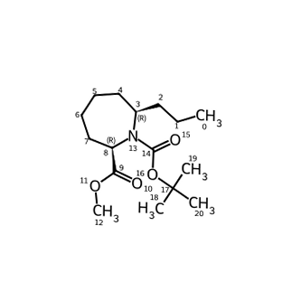 CCC[C@@H]1CCCC[C@H](C(=O)OC)N1C(=O)OC(C)(C)C